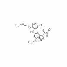 CNc1cc(Nc2cc(C)cnc2OCCOC)nc2c(C(=O)NC3CC3)cnn12